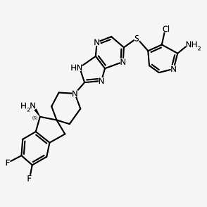 Nc1nccc(Sc2cnc3[nH]c(N4CCC5(CC4)Cc4cc(F)c(F)cc4[C@H]5N)nc3n2)c1Cl